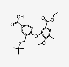 CCOC(=O)c1cc(C)c(OC)c(Oc2ccc(C(=O)O)cc2CSC(C)(C)C)c1